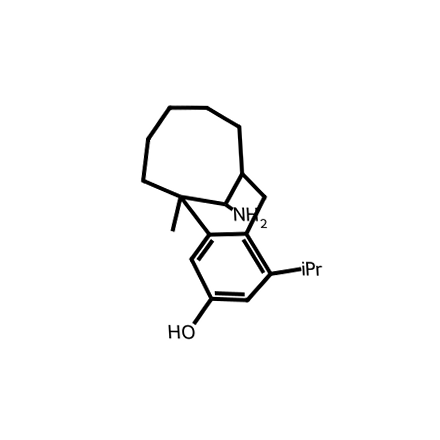 CC(C)c1cc(O)cc2c1CC1CCCCCC2(C)C1N